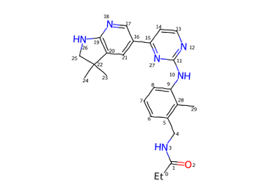 CCC(=O)NCc1cccc(Nc2nccc(-c3cnc4c(c3)C(C)(C)CN4)n2)c1C